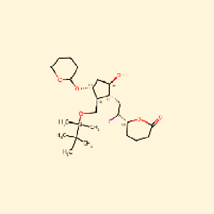 CC(C)(C)[Si](C)(C)OC[C@@H]1[C@@H](CC(I)[C@H]2CCCC(=O)O2)[C@H](O)C[C@H]1OC1CCCCO1